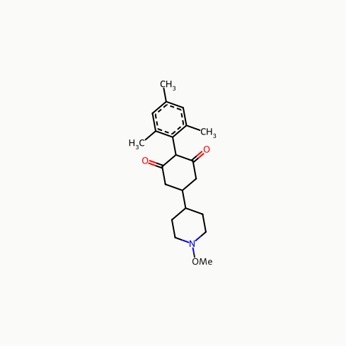 CON1CCC(C2CC(=O)C(c3c(C)cc(C)cc3C)C(=O)C2)CC1